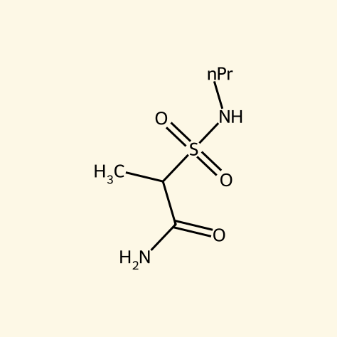 CCCNS(=O)(=O)C(C)C(N)=O